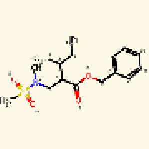 CC(C)CC(C(=O)O)C(CN(C)S(C)(=O)=O)C(=O)OCc1ccccc1